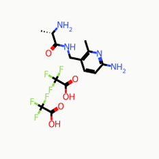 Cc1nc(N)ccc1CNC(=O)[C@H](C)N.O=C(O)C(F)(F)F.O=C(O)C(F)(F)F